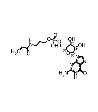 C=CC(=O)NCCCOP(=O)(O)OC[C@H]1O[C@@H](n2cnc3c(=O)[nH]c(N)nc32)[C@H](O)[C@@H]1O